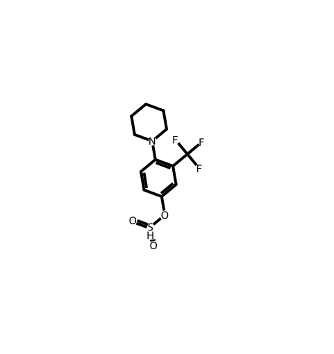 O=[SH](=O)Oc1ccc(N2CCCCC2)c(C(F)(F)F)c1